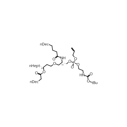 C=CCOP(=O)(OCCNC(=O)OC(C)(C)C)OC[C@H](COCC[C@@H](CCCCCCC)OC(=O)CCCCCCCCCCC)NC(=O)CCCCCCCCCCCCC